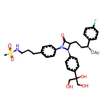 CC(=O)O[C@@H](CCC1C(=O)N(c2ccc(CCCNS(C)(=O)=O)cc2)[C@@H]1c1ccc(C(O)(CO)CO)cc1)c1ccc(F)cc1